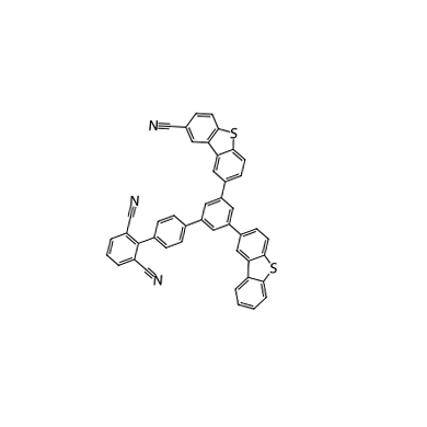 N#Cc1ccc2sc3ccc(-c4cc(-c5ccc(-c6c(C#N)cccc6C#N)cc5)cc(-c5ccc6sc7ccccc7c6c5)c4)cc3c2c1